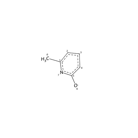 Cc1cccc([O])n1